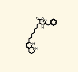 O=C(Cc1ccccc1)N[C@@H](CCCCCCCC1=CC=C2CCCNC2N1)C(=O)O